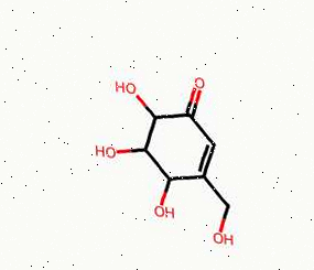 O=C1C=C(CO)C(O)C(O)C1O